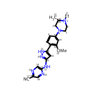 CCN1CCN(c2ccc(-c3cc(Nc4cnc(C#N)cn4)n[nH]3)c(OC)c2)C[C@H]1C